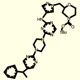 CC(c1ccccc1)c1cnc(N2CCN(c3ncnc(Nc4cnn(CC5CN(C(=O)OC(C)(C)C)CCO5)c4)n3)CC2)nc1